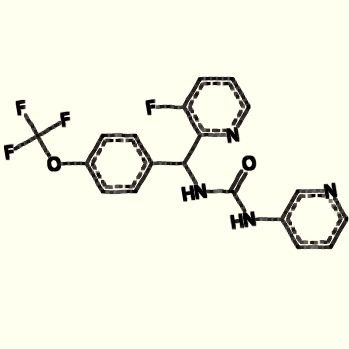 O=C(Nc1cccnc1)NC(c1ccc(OC(F)(F)F)cc1)c1ncccc1F